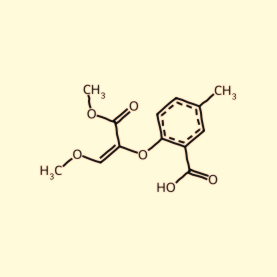 CO/C=C(/Oc1ccc(C)cc1C(=O)O)C(=O)OC